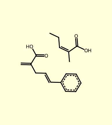 C=C(CC=Cc1ccccc1)C(=O)O.CCC=C(C)C(=O)O